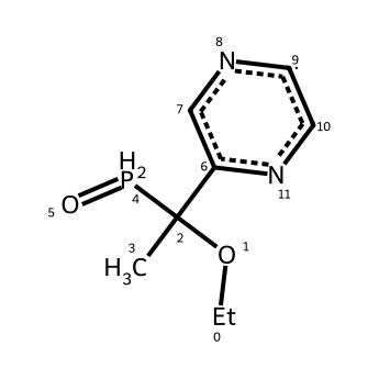 CCOC(C)([PH2]=O)c1cn[c]cn1